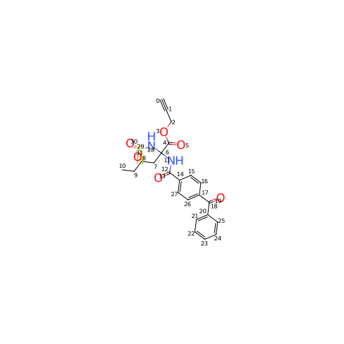 C#CCOC(=O)C(CCCC)(NC(=O)c1ccc(C(=O)c2ccccc2)cc1)N[SH](=O)=O